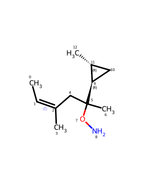 C/C=C(/C)CC(C)(ON)[C@@H]1C[C@H]1C